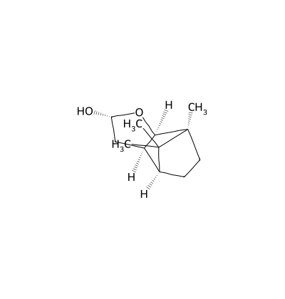 CC1(C)[C@H]2CC[C@]1(C)[C@@H]1O[C@@H](O)C[C@@H]12